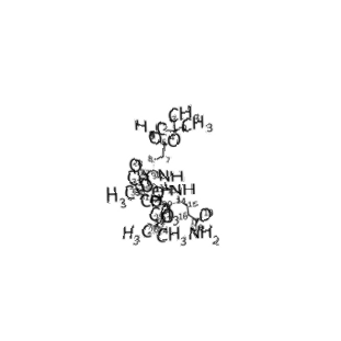 CC(C)(C)OC(=O)CC[C@H](NC(=O)N[C@@H](CCC(N)=O)C(=O)OC(C)(C)C)C(=O)OC(C)(C)C